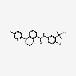 Cc1ccc(N2CCOc3c(C(=O)Nc4ccc(Cl)c(C(C)(C)O)c4)cccc32)nc1